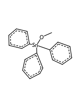 C[O][Sn]([c]1ccccc1)([c]1ccccc1)[c]1ccccc1